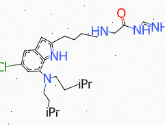 CC(C)CCN(CCC(C)C)c1cc(Cl)cc2cc(CCCCNCC(=O)NC=N)[nH]c12